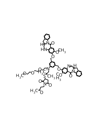 COCCOCCOCCN(CC(C)(C)SC1CC(=O)N(CCC(C)=O)C1=O)c1cc(COc2cc3c(cc2OC)C(=O)N2c4ccccc4C[C@H]2C=N3)cc(COc2cc3c(cc2OC)C(=O)N2c4ccccc4C[C@H]2CN3)c1